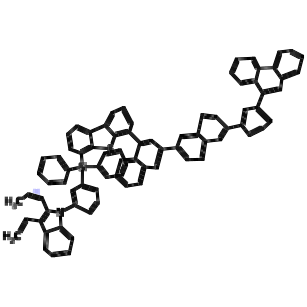 C=Cc1c(/C=C\C)n(-c2cccc([Si](c3ccccc3)(c3ccccc3)c3cccc4c3sc3c(-c5cc(-c6ccc7cc(-c8cccc(-c9cc%10ccccc%10c%10ccccc9%10)c8)ccc7c6)cc6ccccc56)cccc34)c2)c2ccccc12